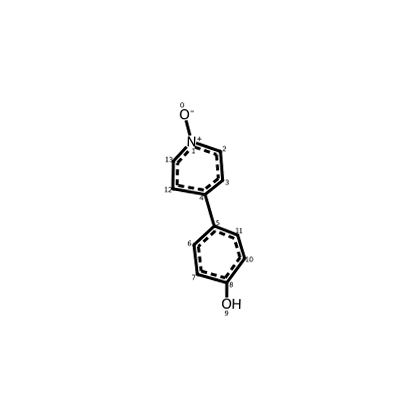 [O-][n+]1ccc(-c2ccc(O)cc2)cc1